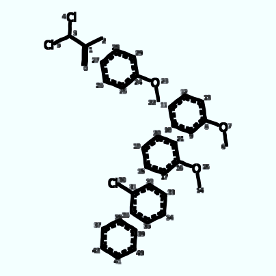 C=C(C)C(Cl)Cl.COc1ccccc1.COc1ccccc1.COc1ccccc1.Clc1ccccc1.c1ccccc1